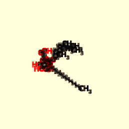 CCCCCCCCCCCCCCCCCCCC(=O)O[C@@H]1[C@H](O)[C@@H](O)[C@H](O)[C@@H](OC(=O)CCC(=O)O)[C@@H]1OC(=O)CO[C@H]1CC[C@@]2(C)C(CCC3C2CC[C@@]2(C)C3CC[C@@H]2C(C)CCCC(C)C)C1